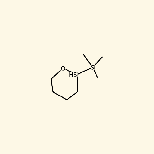 C[Si](C)(C)[SiH]1CCCCO1